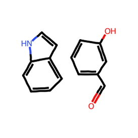 O=Cc1cccc(O)c1.c1ccc2[nH]ccc2c1